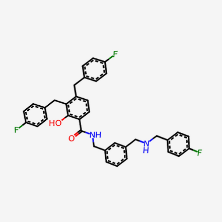 O=C(NCc1cccc(CNCc2ccc(F)cc2)c1)c1ccc(Cc2ccc(F)cc2)c(Cc2ccc(F)cc2)c1O